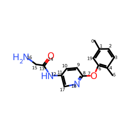 Cc1ccc(C)c(Oc2ccc(NC(=O)CN)cn2)c1